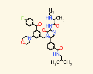 CN[C@@H](C)C(=O)Nc1ncc(-c2cccc(C(=O)NCC(C)C)c2)n(Cc2cc(C(=O)c3ccc(F)cc3)cc(N3CCOCC3)c2)c1=O